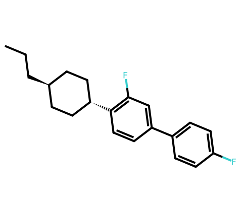 CCC[C@H]1CC[C@H](c2ccc(-c3ccc(F)cc3)cc2F)CC1